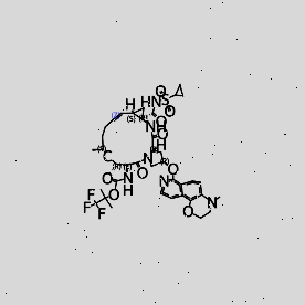 C[C@H]1CC/C=C\[C@@H]2C[C@@]2(C(=O)NS(=O)(=O)C2CC2)NC(=O)[C@@H]2C[C@@H](Oc3nccc4c5c(ccc34)N(C)CCO5)CN2C(=O)[C@@H](NC(=O)OC(C)(C)C(F)(F)F)[C@H](C)C1